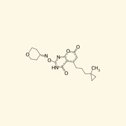 CC1(CCCc2cc(=O)oc3nc(ON=C4CCOCC4)[nH]c(=O)c23)CC1